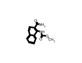 COC(=O)Nc1c(C(N)=O)ccc2ccccc12